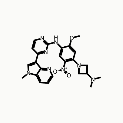 COc1cc(N2CC(N(C)C)C2)c([N+](=O)[O-])cc1Nc1nccc(-c2cn(C)c3cccnc23)n1